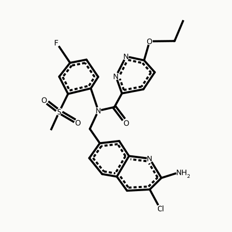 CCOc1ccc(C(=O)N(Cc2ccc3cc(Cl)c(N)nc3c2)c2ccc(F)cc2S(C)(=O)=O)nn1